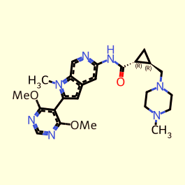 COc1ncnc(OC)c1-c1cc2cc(NC(=O)[C@@H]3C[C@H]3CN3CCN(C)CC3)ncc2n1C